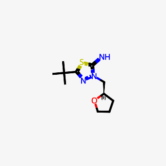 CC(C)(C)c1nn(C[C@H]2CCCO2)c(=N)s1